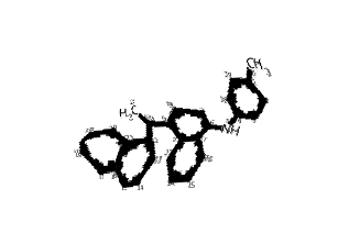 Cc1ccc(Nc2ccc(C(C)c3cccc4ccccc34)c3ccccc23)cc1